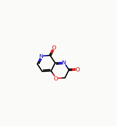 O=C1COC2=CC=NC(=O)C2=N1